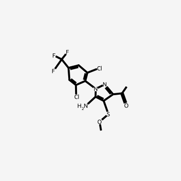 COSc1c(C(C)=O)nn(-c2c(Cl)cc(C(F)(F)F)cc2Cl)c1N